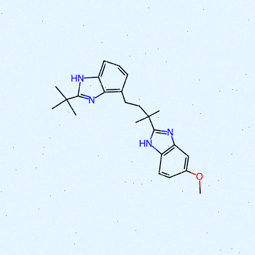 COc1ccc2[nH]c(C(C)(C)CCc3cccc4[nH]c(C(C)(C)C)nc34)nc2c1